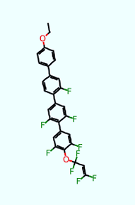 CCOc1ccc(-c2ccc(-c3cc(F)c(-c4cc(F)c(OC(F)(F)C=C(F)F)c(F)c4)c(F)c3)c(F)c2)cc1